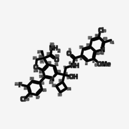 COc1cc(C(=O)NCC(O)(c2cc3c(c(-c4ccc(Cl)c(F)c4)n2)OC[C@]3(C)C(N)=O)C2CCC2)cc2cc(Cl)c(C)nc12